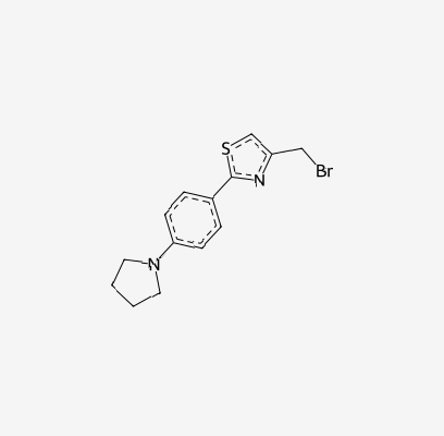 BrCc1csc(-c2ccc(N3CCCC3)cc2)n1